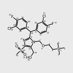 C[Si](C)(C)CCOCn1c(C(c2ccc(F)c(Cl)c2)c2ccc(F)c(Cl)c2)nc(S(C)(=O)=O)c1CO